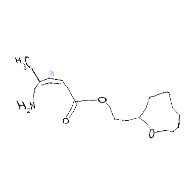 C/C(N)=C/C(=O)OCC1CCCCO1